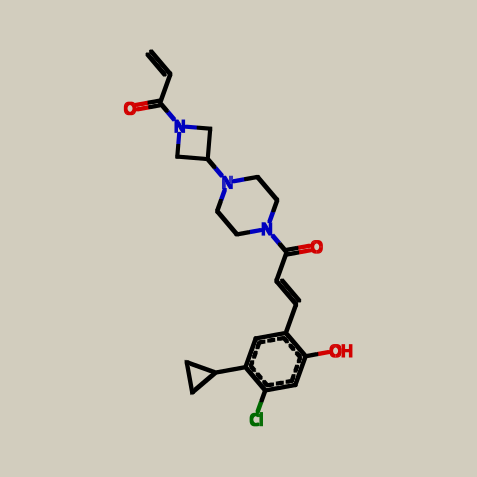 C=CC(=O)N1CC(N2CCN(C(=O)C=Cc3cc(C4CC4)c(Cl)cc3O)CC2)C1